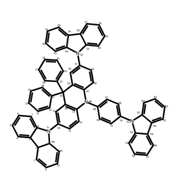 C1=CC2c3ccccc3N(c3ccc4c(c3)C(c3ccccc3)(c3ccccc3)c3cc(-n5c6ccccc6c6ccccc65)ccc3N4c3ccc(-n4c5ccccc5c5ccccc54)cc3)C2C=C1